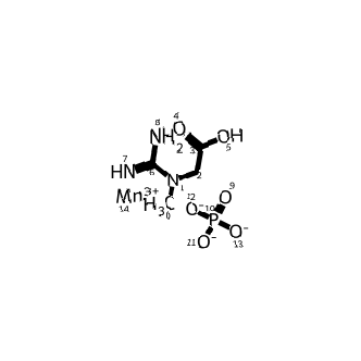 CN(CC(=O)O)C(=N)N.O=P([O-])([O-])[O-].[Mn+3]